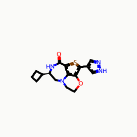 O=C1N[C@H](C2CCC2)CN2CCOc3c(-c4cn[nH]c4)sc1c32